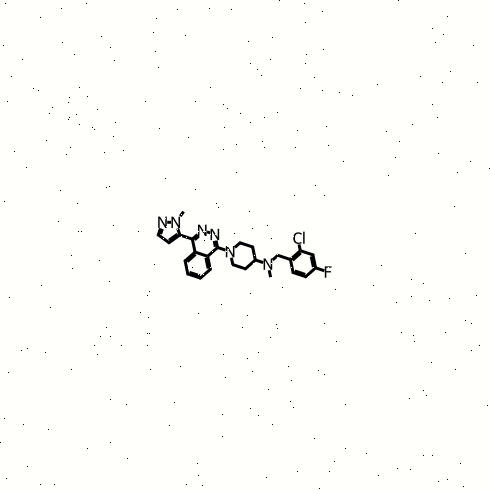 CN(Cc1ccc(F)cc1Cl)C1CCN(c2nnc(-c3ccnn3C)c3ccccc23)CC1